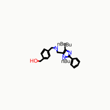 CCCCN(Cc1ccc(CO)cc1)Cc1c(C(C)(C)C)nc(-c2ccccc2)n1CCCC